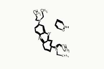 C1=CNOC=C1.CCN(CC)c1ccc2nc3ccc(N(CC)CC)cc3[o+]c2c1